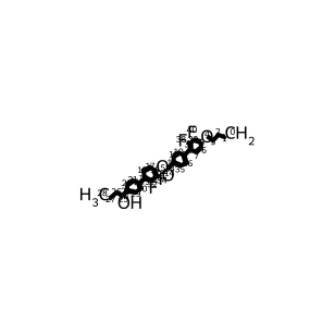 C=CCCOc1ccc(-c2ccc(C(=O)Oc3ccc(-c4ccc(C(O)CCC)cc4)c(F)c3F)cc2)c(F)c1F